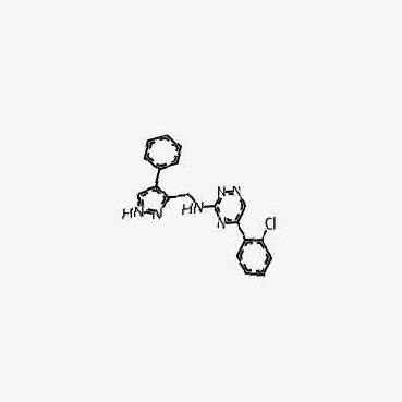 Clc1ccccc1-c1cnnc(NCc2n[nH]cc2-c2ccccc2)n1